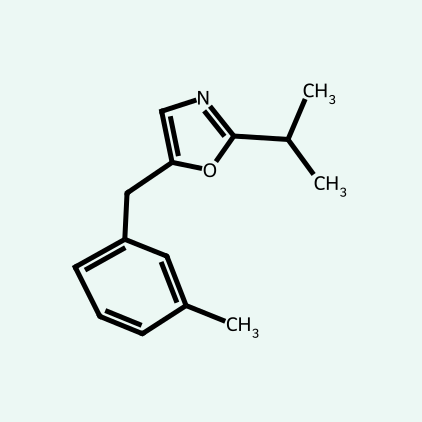 Cc1cccc(Cc2cnc(C(C)C)o2)c1